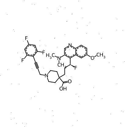 COc1ccc2ncc(N(C)C)c([C@@H](F)CCC3(C(=O)O)CCN(CC#Cc4c(F)cc(F)cc4F)CC3)c2c1